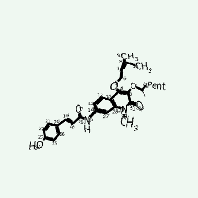 CCCC(C)COc1c(OCC=C(C)C)c2ccc(NC(=O)C=Cc3ccc(O)cc3)cc2n(C)c1=O